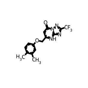 Cc1ccc(OCc2cc(=O)n3nc(C(F)(F)F)nc3[nH]2)cc1C